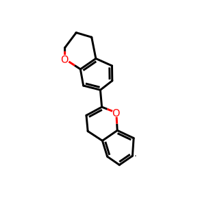 [c]1ccc2c(c1)OC(c1ccc3c(c1)OCCC3)=CC2